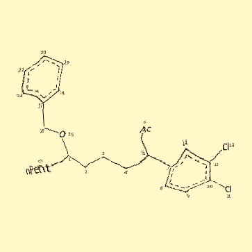 CCCCCC(CCCC(C(C)=O)c1ccc(Cl)c(Cl)c1)OCc1ccccc1